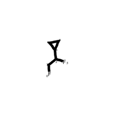 FC[C](F)C1CC1